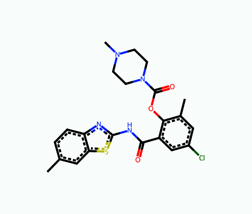 Cc1ccc2nc(NC(=O)c3cc(Cl)cc(C)c3OC(=O)N3CCN(C)CC3)sc2c1